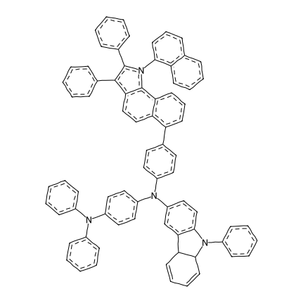 C1=CC2c3cc(N(c4ccc(-c5cccc6c5ccc5c(-c7ccccc7)c(-c7ccccc7)n(-c7cccc8ccccc78)c56)cc4)c4ccc(N(c5ccccc5)c5ccccc5)cc4)ccc3N(c3ccccc3)C2C=C1